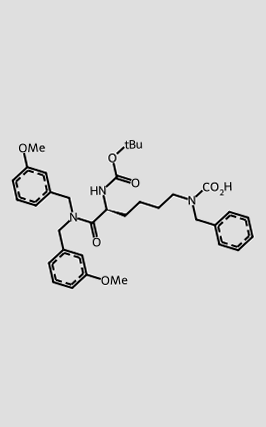 COc1cccc(CN(Cc2cccc(OC)c2)C(=O)[C@H](CCCCN(Cc2ccccc2)C(=O)O)NC(=O)OC(C)(C)C)c1